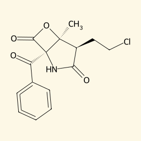 C[C@@]12OC(=O)[C@]1(C(=O)C1=C=C=CC=C1)NC(=O)[C@@H]2CCCl